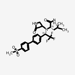 CC(C)C[C@@H](C(N)=O)N(C1CNC1=O)[C@@H](c1ccc(-c2ccc(S(C)(=O)=O)cc2)cc1)C(F)(F)F